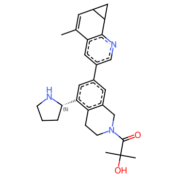 CC1=CC2CC2c2ncc(-c3cc4c(c([C@@H]5CCCN5)c3)CCN(C(=O)C(C)(C)O)C4)cc21